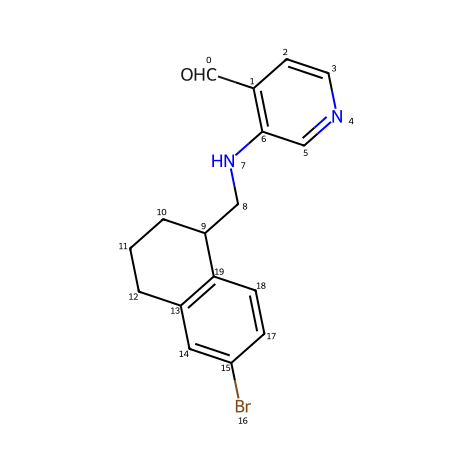 O=Cc1ccncc1NCC1CCCc2cc(Br)ccc21